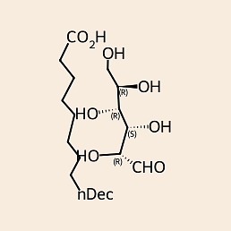 CCCCCCCCCCCCCCCCCC(=O)O.O=C[C@H](O)[C@@H](O)[C@H](O)[C@H](O)CO